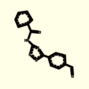 O=Cc1ccc(-c2nnc(NC(=O)c3ccccc3)s2)cc1